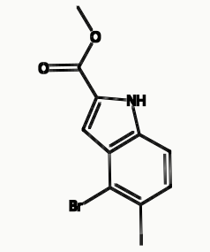 COC(=O)c1cc2c(Br)c(I)ccc2[nH]1